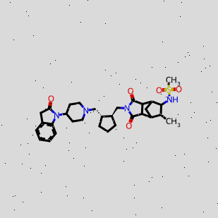 CC1C2CC(C1NS(C)(=O)=O)C1C(=O)N(C[C@H]3CCC[C@@H]3CN3CCC(N4C(=O)Cc5ccccc54)CC3)C(=O)C21